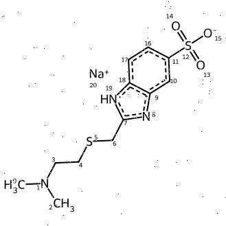 CN(C)CCSCc1nc2cc(S(=O)(=O)[O-])ccc2[nH]1.[Na+]